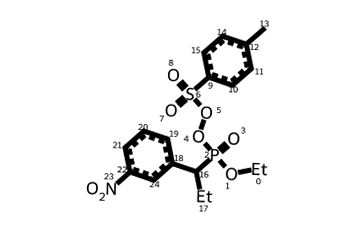 CCOP(=O)(OOS(=O)(=O)c1ccc(C)cc1)C(CC)c1cccc([N+](=O)[O-])c1